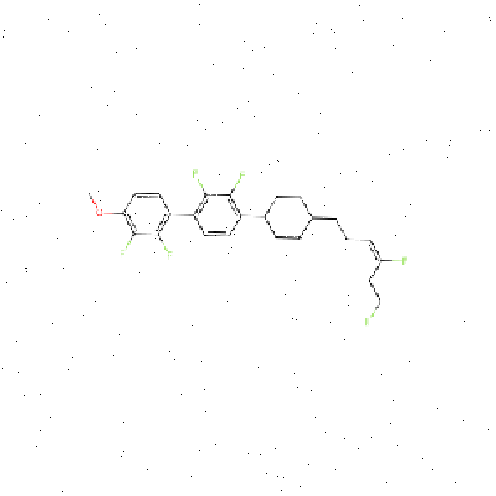 COc1ccc(-c2ccc(C3CCC(CC/C=C(/F)CCF)CC3)c(F)c2F)c(F)c1F